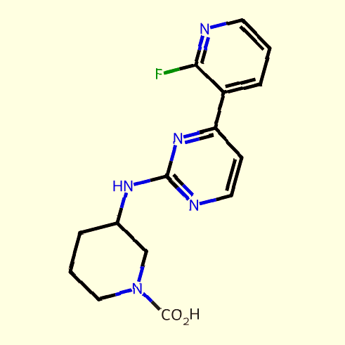 O=C(O)N1CCCC(Nc2nccc(-c3cccnc3F)n2)C1